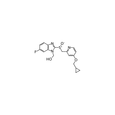 [O-][S+](Cc1cc(OCC2CC2)ccn1)c1nc2ccc(F)cc2n1CO